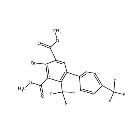 COC(=O)c1cc(-c2ccc(C(F)(F)F)cc2)c(C(F)(F)F)c(C(=O)OC)c1Br